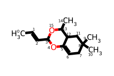 CC=CC1OC2=CCC(C)(C)CC2C(C)O1